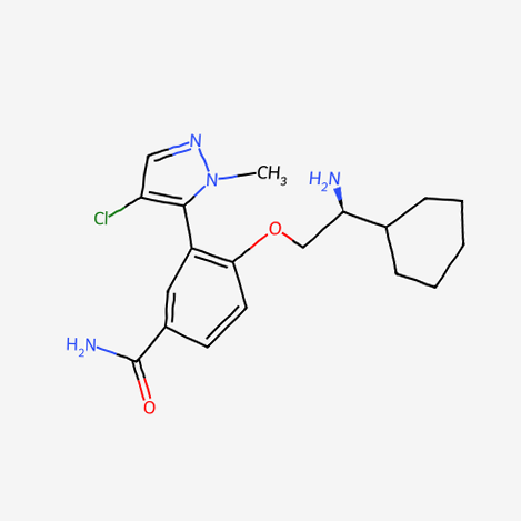 Cn1ncc(Cl)c1-c1cc(C(N)=O)ccc1OC[C@@H](N)C1CCCCC1